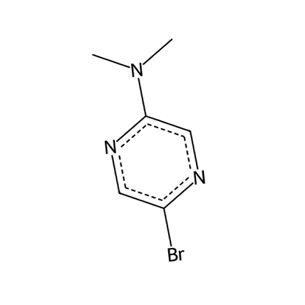 CN(C)c1cnc(Br)cn1